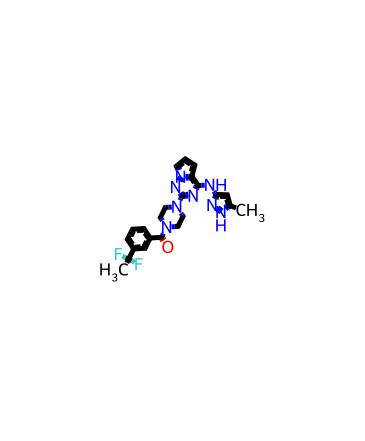 Cc1cc(Nc2nc(N3CCN(C(=O)c4cccc(C(C)(F)F)c4)CC3)nn3cccc23)n[nH]1